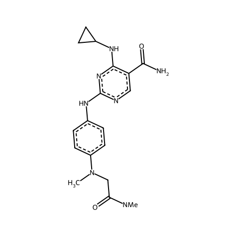 CNC(=O)CN(C)c1ccc(Nc2ncc(C(N)=O)c(NC3CC3)n2)cc1